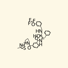 Cc1csc([C@H]2CCCN2C(=O)c2cccc(C(=O)N[C@@H](Cc3ccccc3)[C@H](O)CNCc3cccc(OC(F)(F)F)c3)c2)n1